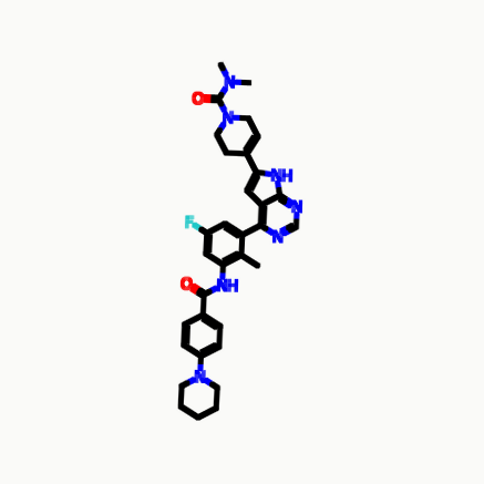 Cc1c(NC(=O)c2ccc(N3CCCCC3)cc2)cc(F)cc1-c1ncnc2[nH]c(C3=CCN(C(=O)N(C)C)CC3)cc12